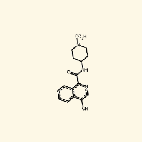 N#Cc1cnc(C(=O)NC2CCN(C(=O)O)CC2)c2ccccc12